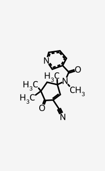 CN(C(=O)c1cccnc1)C1(C)C=C(C#N)C(=O)C(C)(C)C1